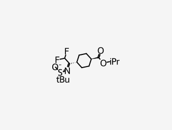 CC(C)OC(=O)[C@H]1CC[C@H](/C(=N/[S+]([O-])C(C)(C)C)C(F)F)CC1